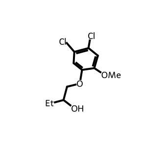 CCC(O)COc1cc(Cl)c(Cl)cc1OC